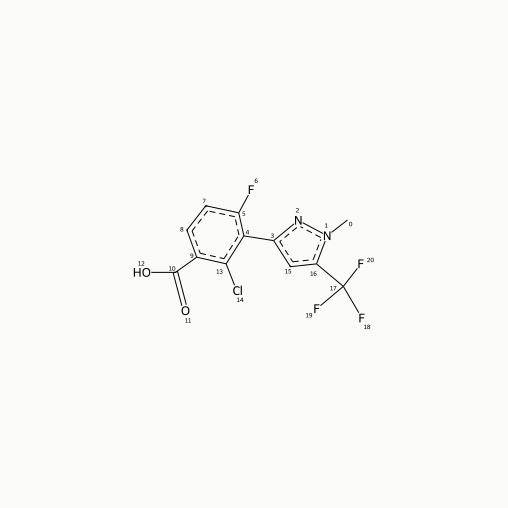 Cn1nc(-c2c(F)ccc(C(=O)O)c2Cl)cc1C(F)(F)F